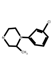 CC1C[N]CCN1c1cccc(Cl)c1